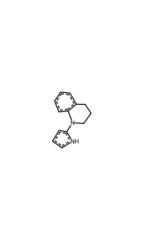 c1c[nH]c(N2CCCc3ccccc32)c1